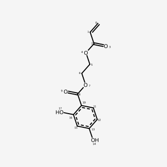 C=CC(=O)OCCOC(=O)c1ccc(O)cc1O